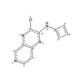 Clc1nc2cnccc2nc1NC1=CC=C1